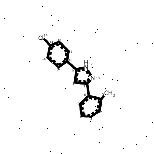 Cc1[c]cccc1-c1cc(-c2ccc(Cl)cc2)[nH]n1